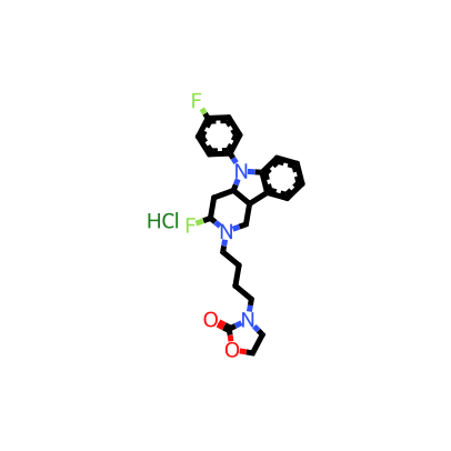 Cl.O=C1OCCN1CCCCN1CC2c3ccccc3N(c3ccc(F)cc3)C2CC1F